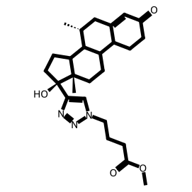 COC(=O)CCCn1cc([C@]2(O)CCC3C4C(CC[C@@]32C)C2CCC(=O)C=C2C[C@H]4C)nn1